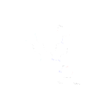 CNC(=O)C(NC(=O)n1nc(-c2cc(F)c(F)cc2F)c2c1CCN(C(=O)OC(C)(C)C)C2)C(C)(C)C